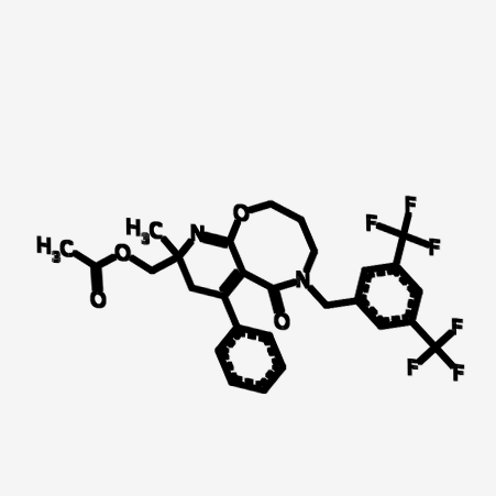 CC(=O)OCC1(C)CC(c2ccccc2)=C2C(=O)N(Cc3cc(C(F)(F)F)cc(C(F)(F)F)c3)CCCOC2=N1